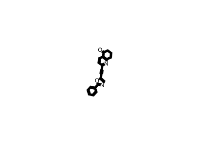 O=C1CCCc2nc(C#Cc3cnc(-c4ccccc4)o3)ccc21